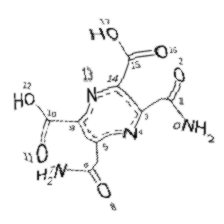 NC(=O)c1nc(C(N)=O)c(C(=O)O)nc1C(=O)O